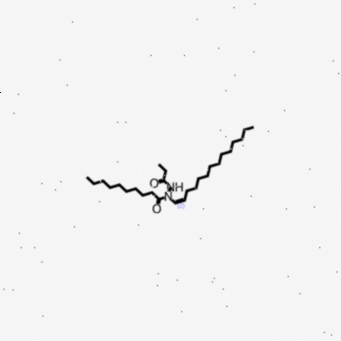 CCCCCCCCCCCC/C=C\N(NC(=O)CC)C(=O)CCCCCCCCC